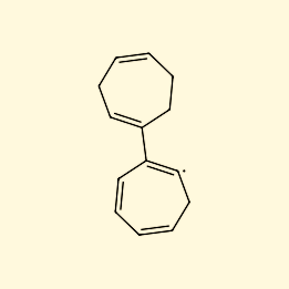 [C]1=C(C2=CCC=CCC2)C=CC=CC1